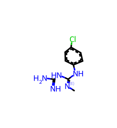 C/N=C(/NC(=N)N)Nc1ccc(Cl)cc1